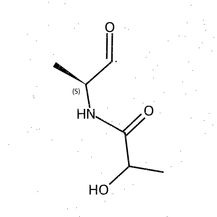 CC(O)C(=O)N[C@@H](C)[C]=O